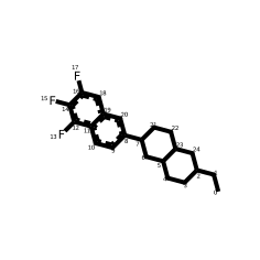 CCC1CCC2CC(c3ccc4c(F)c(F)c(F)cc4c3)CCC2C1